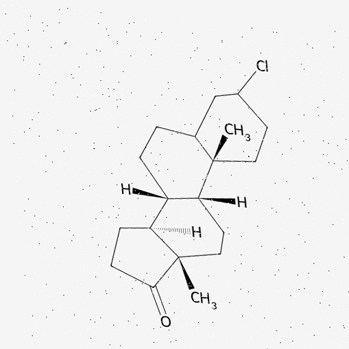 C[C@]12CCC(Cl)CC1CC[C@@H]1[C@H]2CC[C@]2(C)C(=O)CC[C@@H]12